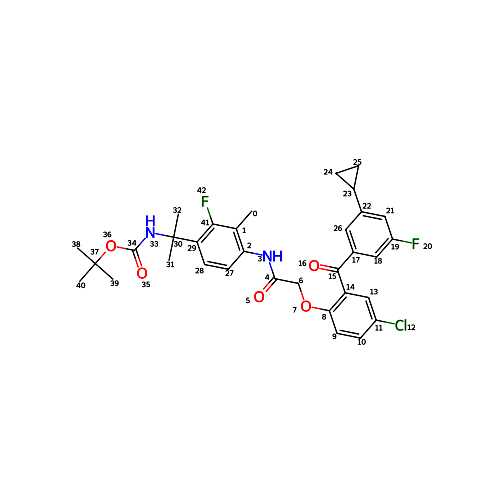 Cc1c(NC(=O)COc2ccc(Cl)cc2C(=O)c2cc(F)cc(C3CC3)c2)ccc(C(C)(C)NC(=O)OC(C)(C)C)c1F